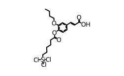 CCCCOc1cc(C=CC(=O)O)ccc1OC(=O)CCCCC[Si](Cl)(Cl)Cl